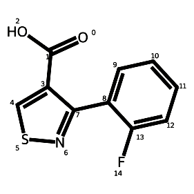 O=C(O)c1csnc1-c1ccccc1F